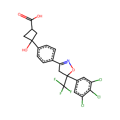 O=C(O)C1CC(O)(c2ccc(C3=NOC(c4cc(Cl)c(Cl)c(Cl)c4)(C(F)(F)F)C3)cc2)C1